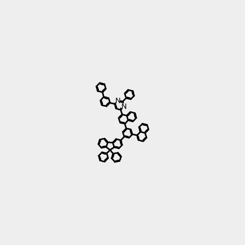 c1ccc(-c2cccc(-c3cc(-c4ccc(-c5cc(-c6ccc7c(c6)-c6ccccc6C7(c6ccccc6)c6ccccc6)cc(-c6cccc7ccccc67)c5)c5ccccc45)nc(-c4ccccc4)n3)c2)cc1